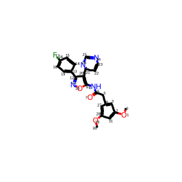 COc1cc(CC(=O)Nc2onc(-c3ccc(F)cc3)c2-c2ccncn2)cc(OC)c1